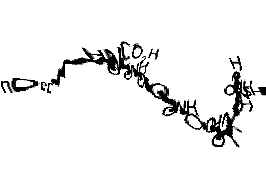 CCCCCCCCCCCCCCCCCCCC(=O)NC(CCC(=O)NCCOCCOCCC(=O)NCCOCCOCCC(=O)[C@H](C)[C@@H](C)NCCCCC(N[SH](C)C)C(=O)N[SH](C)C)C(=O)O